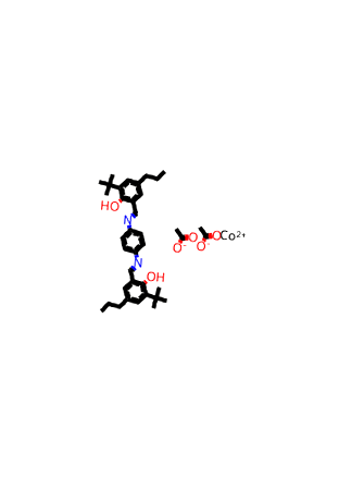 CC(=O)[O-].CC(=O)[O-].CCCc1cc(C=Nc2ccc(N=Cc3cc(CCC)cc(C(C)(C)C)c3O)cc2)c(O)c(C(C)(C)C)c1.[Co+2]